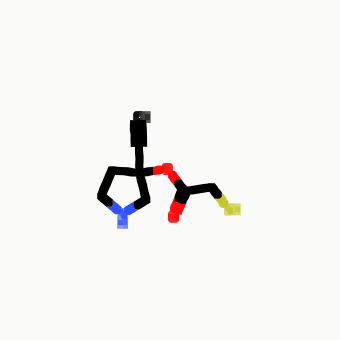 C#CC1(OC(=O)CS)CCNC1